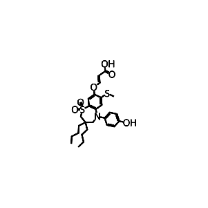 CCCCC1(CCCC)CN(c2ccc(O)cc2)c2cc(SC)c(OC=CC(=O)O)cc2S(=O)(=O)C1